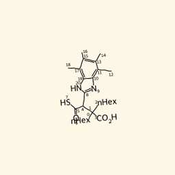 CCCCCCC(CCCCCC)(C(=O)O)C(C(=O)S)c1nc2c(C)c(C)c(C)c(C)c2[nH]1